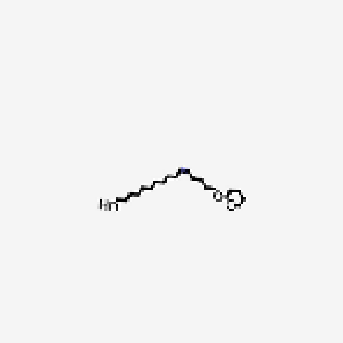 OCCCCCCCCCC/C=C\CCCCOC1CCCCO1